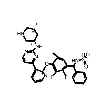 Cc1cc(C(N[SH](=O)=O)c2ccccc2)c(F)c(F)c1Oc1ncccc1-c1ccnc(N[C@@H]2CNC[C@H](C)C2)n1